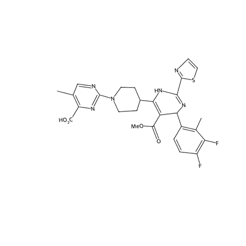 COC(=O)C1=C(C2CCN(c3ncc(C)c(C(=O)O)n3)CC2)NC(c2nccs2)=NC1c1ccc(F)c(F)c1C